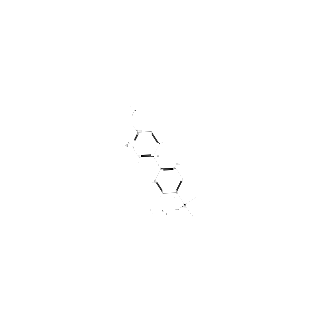 CC(=O)NC(C)(C)c1ccc(-c2ccc(OC(C)C)nc2)cc1